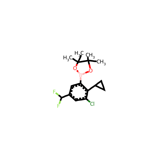 CC1(C)OB(c2cc(C(F)F)cc(Cl)c2C2CC2)OC1(C)C